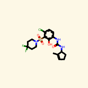 CC1=CCCC1NC(=O)Nc1ccc(Cl)c(S(=O)(=O)N2CCC(F)(F)CC2)c1O